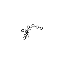 c1ccc(-c2ccc(-c3cccc(-c4ccc(-c5nc(-c6ccccc6)nc(-c6cccc7c6oc6ccccc67)n5)c5ccccc45)c3)cc2)cc1